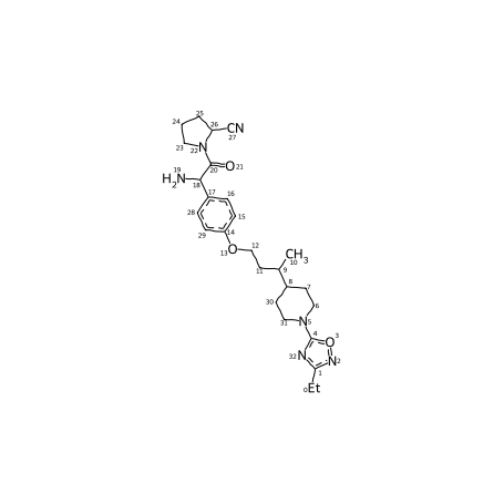 CCc1noc(N2CCC(C(C)CCOc3ccc(C(N)C(=O)N4CCCC4C#N)cc3)CC2)n1